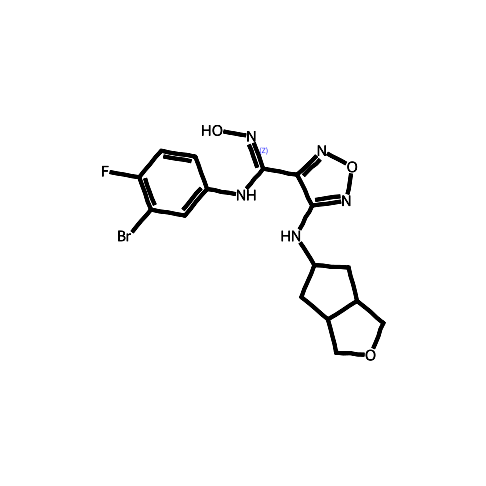 O/N=C(\Nc1ccc(F)c(Br)c1)c1nonc1NC1CC2COCC2C1